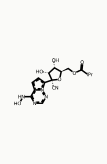 CC(C)C(=O)OC[C@H]1O[C@@](C#N)(c2ccc3c(NO)ncnn23)[C@H](O)[C@@H]1O